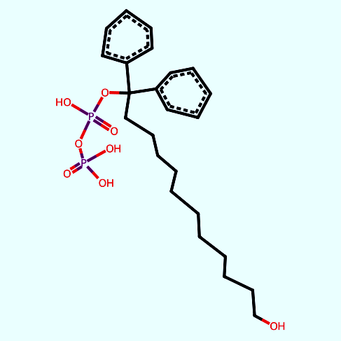 O=P(O)(O)OP(=O)(O)OC(CCCCCCCCCCCO)(c1ccccc1)c1ccccc1